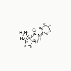 N[C@H]1C(C(=O)Nc2ccccc2)[C@@H]2CC[C@H]1C2